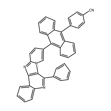 N#Cc1ccc(-c2c3ccccc3c(-c3ccc4nc5c6ccccc6nc(-c6ccccc6)c5n4c3)c3ccccc23)cc1